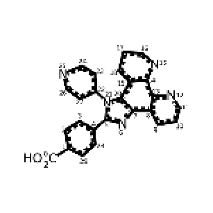 O=C(O)c1ccc(-c2nc3c4cccnc4c4ncccc4c3n2-c2ccncc2)cc1